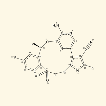 C[C@H]1Oc2nc(cnc2N)-c2c(nn(C)c2C#N)CCS(=O)(=O)c2ccc(F)cc21